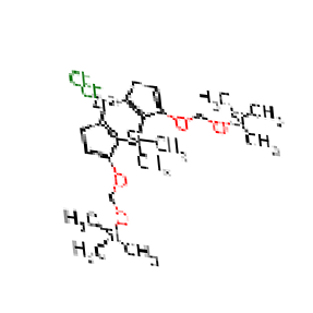 C[Si](C)(C)OCOC1=CC[C]2=C1[Si](C)(C)C1=[C](CC=C1OCO[Si](C)(C)C)[Zr+2]2.[Cl-].[Cl-]